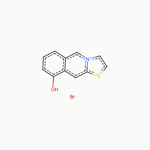 Oc1cccc2c[n+]3ccsc3cc12.[Br-]